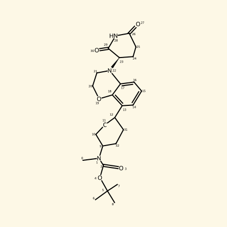 CN(C(=O)OC(C)(C)C)C1CCC(c2cccc3c2OCCN3[C@@H]2CCC(=O)NC2=O)CC1